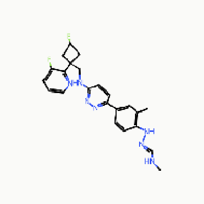 CN/C=N/Nc1ccc(-c2ccc(NC[C@]3(c4ncccc4F)C[C@H](F)C3)nn2)cc1C